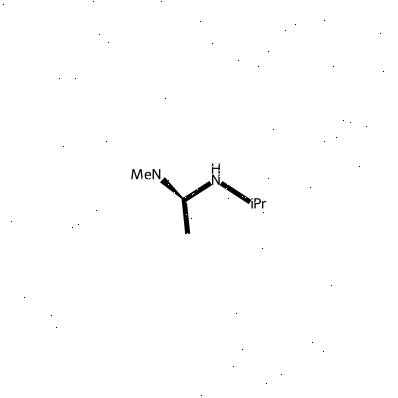 CN[C@H](C)NC(C)C